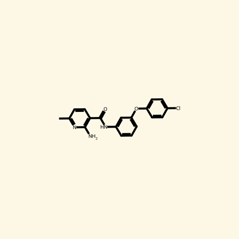 Cc1ccc(C(=O)Nc2cccc(Oc3ccc(Cl)cc3)c2)c(N)n1